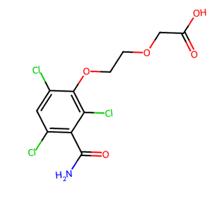 NC(=O)c1c(Cl)cc(Cl)c(OCCOCC(=O)O)c1Cl